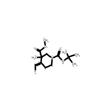 COC(=O)C1(C)CN(C(=O)OC(C)(C)C)CC/C1=C\F